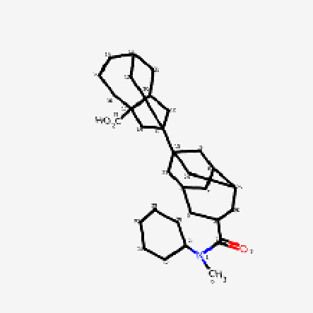 CN(C(=O)C1CC2CC3CC(C45CC6CCCC(C(=O)O)(C4)C(C6)C5)(C2)CC3C1)C1CCCCC1